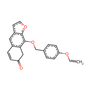 C=COc1ccc(COc2c3c(cc4ccoc24)C=CC(=O)C3)cc1